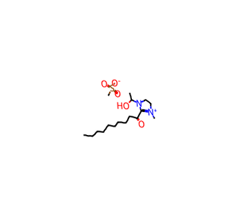 CCCCCCCCCC(=O)C1=[N+](C)CCN1C(C)O.CS(=O)(=O)[O-]